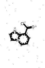 O=C(Cl)c1cccn2ccnc12